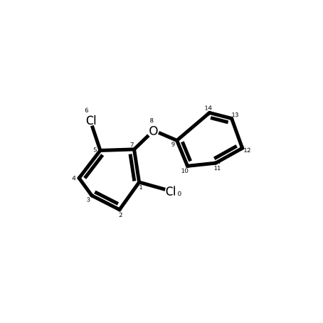 Clc1cccc(Cl)c1Oc1c[c]ccc1